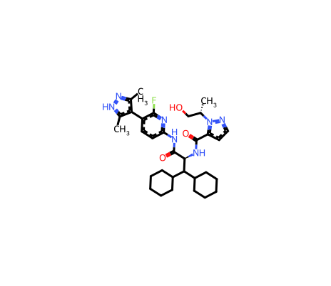 Cc1n[nH]c(C)c1-c1ccc(NC(=O)[C@@H](NC(=O)c2ccnn2[C@@H](C)CO)C(C2CCCCC2)C2CCCCC2)nc1F